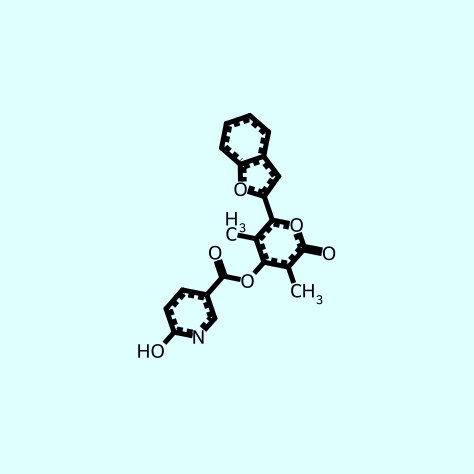 Cc1c(-c2cc3ccccc3o2)oc(=O)c(C)c1OC(=O)c1ccc(O)nc1